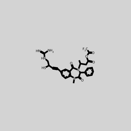 CC(CC(=O)OC(=O)C(F)(F)F)N1C(=O)c2cc(C#CC(S)CNC(=N)N)ccc2N(C)C(=O)C1c1ccccc1